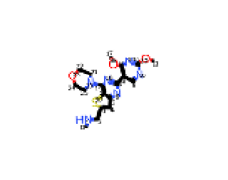 CNCc1cc2nc(-c3cnc(OC)nc3OC)nc(N3CCOCC3)c2s1